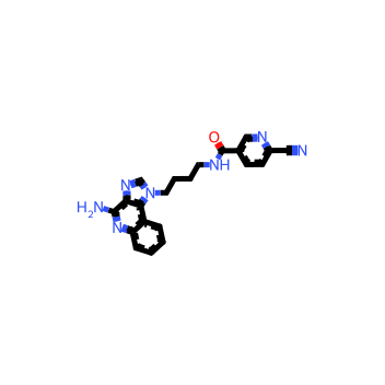 N#Cc1ccc(C(=O)NCCCCn2cnc3c(N)nc4ccccc4c32)cn1